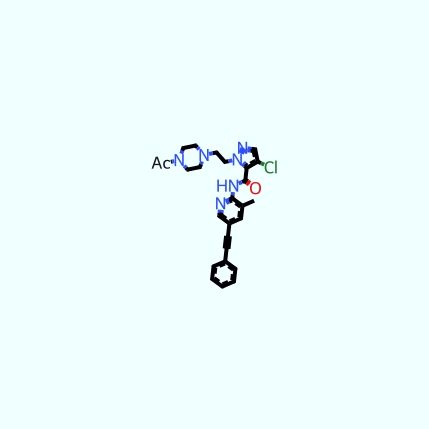 CC(=O)N1CCN(CCn2ncc(Cl)c2C(=O)Nc2ncc(C#Cc3ccccc3)cc2C)CC1